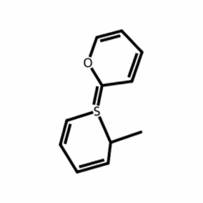 CC1C=CC=CS1=c1cccco1